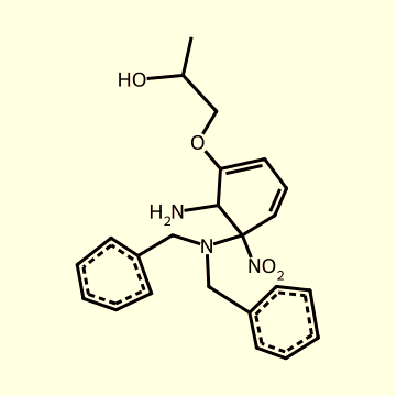 CC(O)COC1=CC=CC(N(Cc2ccccc2)Cc2ccccc2)([N+](=O)[O-])C1N